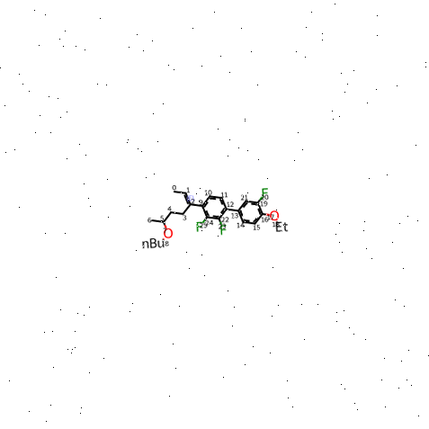 C/C=C(\CCC(C)OCCCC)c1ccc(-c2ccc(OCC)c(F)c2)c(F)c1F